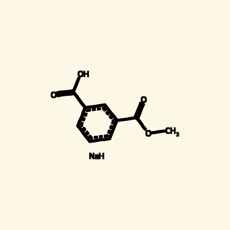 COC(=O)c1cccc(C(=O)O)c1.[NaH]